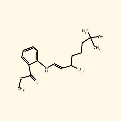 COC(=O)c1ccccc1NC=CC(C)CCCC(C)(C)O